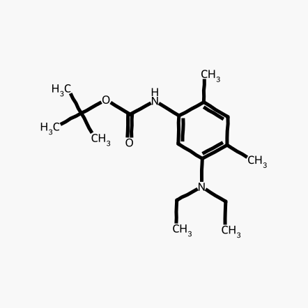 CCN(CC)c1cc(NC(=O)OC(C)(C)C)c(C)cc1C